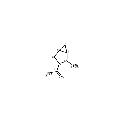 CC(C)(C)N1C(C(N)=O)CC2CC21